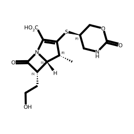 C[C@H]1C(S[C@@H]2CNC(=O)OC2)=C(C(=O)O)N2C(=O)[C@@H](CCO)[C@@H]12